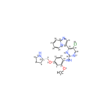 COc1cc(OC[C@@H]2CCCN2)ccc1Nc1ncc(Cl)c(-c2cnc3ccccn23)n1